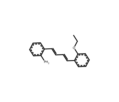 CCOc1ccccc1/C=C/C=C/c1ccccc1P